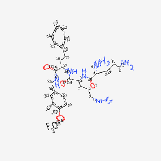 NCCCC(NC(=O)[C@H](N)CCCN)C(=O)N[C@@H](CCc1ccccc1)C(=O)NCc1ccc(OC(F)(F)F)cc1